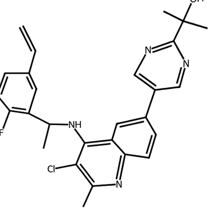 C=Cc1ccc(F)c(C(C)Nc2c(Cl)c(C)nc3ccc(-c4cnc(C(C)(C)O)nc4)cc23)c1